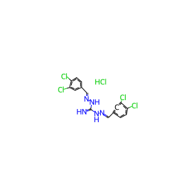 Cl.N=C(N/N=C/c1ccc(Cl)c(Cl)c1)N/N=C/c1ccc(Cl)c(Cl)c1